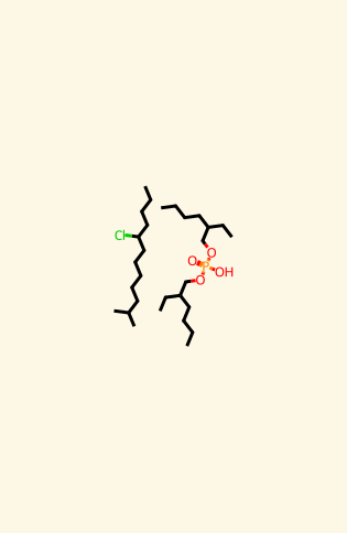 CCCCC(CC)COP(=O)(O)OCC(CC)CCCC.CCCCC(Cl)CCCCCC(C)C